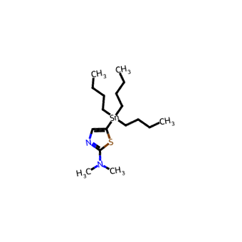 CCC[CH2][Sn]([CH2]CCC)([CH2]CCC)[c]1cnc(N(C)C)s1